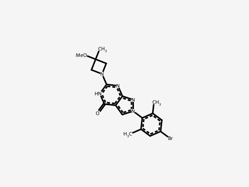 COC1(C)CN(c2nc3nn(-c4c(C)cc(Br)cc4C)cc3c(=O)[nH]2)C1